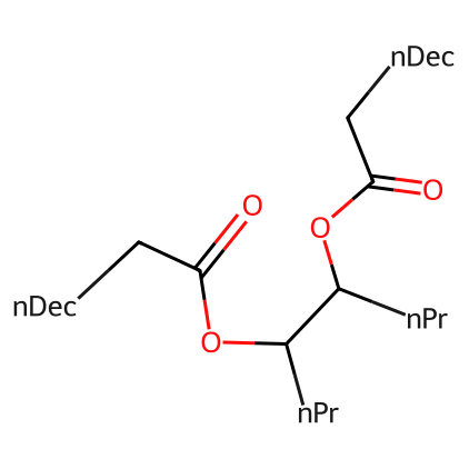 CCCCCCCCCCCC(=O)OC(CCC)C(CCC)OC(=O)CCCCCCCCCCC